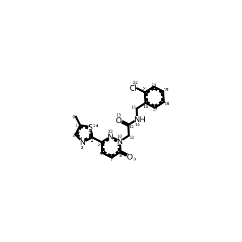 Cc1cnc(-c2ccc(=O)n(CC(=O)NCc3ccccc3Cl)n2)s1